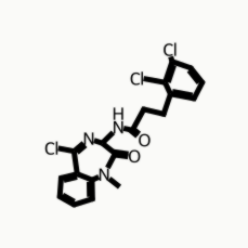 CN1C(=O)C(NC(=O)CCc2cccc(Cl)c2Cl)N=C(Cl)c2ccccc21